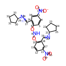 O=[N+]([O-])c1ccc(ONOc2ccc([N+](=O)[O-])cc2/C=N/C2CCCC2)c(/C=N/C2CCCC2)c1